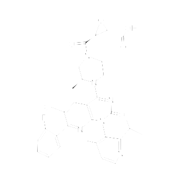 Cc1ccnc(C(C)C)c1-n1c(=O)nc(N2CCN(C(=O)[C@H]3O[C@@H]3C(=O)O)C[C@@H]2C)c2cc(Cl)c(-c3ccccc3F)nc21